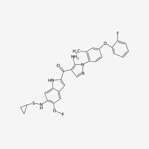 Cc1cc(Oc2ccccc2F)ccc1-n1ncc(C(=O)c2cc3cc(OF)c(NSC4CC4)cc3[nH]2)c1N